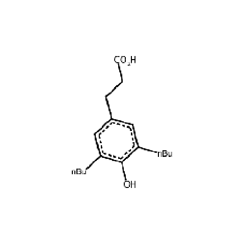 CCCCc1cc(CCC(=O)O)cc(CCCC)c1O